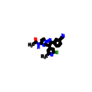 CC(=O)Nc1ccn2nc(-c3cccc(C#N)c3)c(-c3cc(C)nc(Cl)c3)c2n1